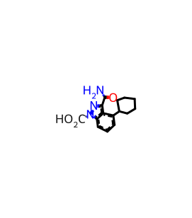 NC(=O)c1nn(C(=O)O)c2cccc(C3CCCCC3)c12